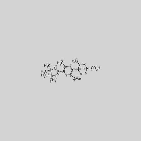 COc1cc(B2OC(C)(C)C(C)(C)O2)c(C)cc1N1CCN(C(=O)O)CC1C(C)(C)C